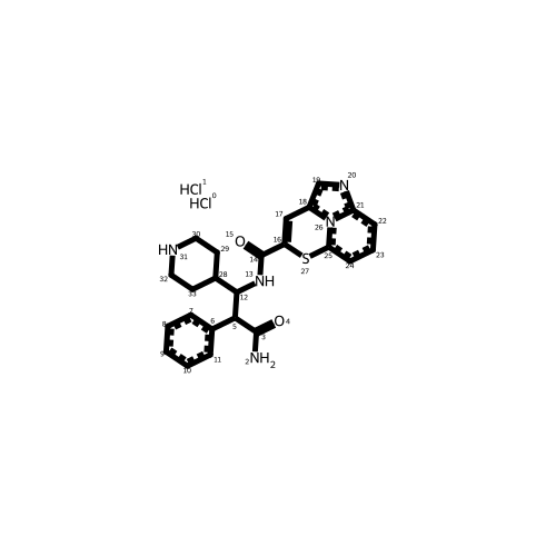 Cl.Cl.NC(=O)C(c1ccccc1)C(NC(=O)C1=Cc2cnc3cccc(n23)S1)C1CCNCC1